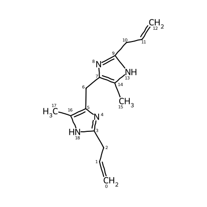 C=CCc1nc(Cc2nc(CC=C)[nH]c2C)c(C)[nH]1